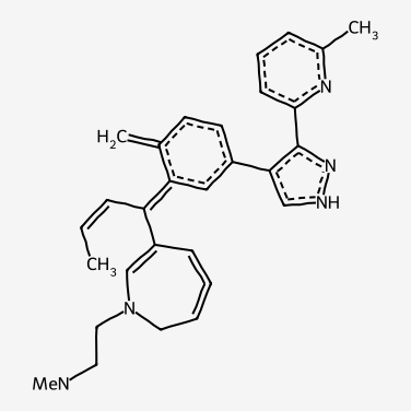 C=c1ccc(-c2c[nH]nc2-c2cccc(C)n2)c/c1=C(/C=C\C)C1=CN(CCNC)CC=C=C1